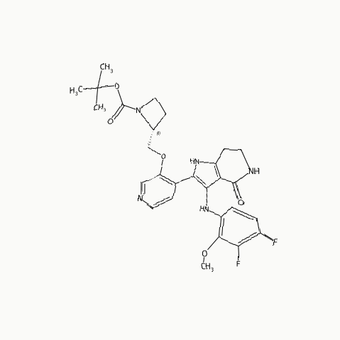 COc1c(Nc2c(-c3ccncc3OC[C@H]3CCN3C(=O)OC(C)(C)C)[nH]c3c2C(=O)NCC3)ccc(F)c1F